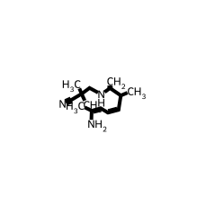 C=C(NCC(C)(C)C#N)C(C)/C=C\C=C(\C)N